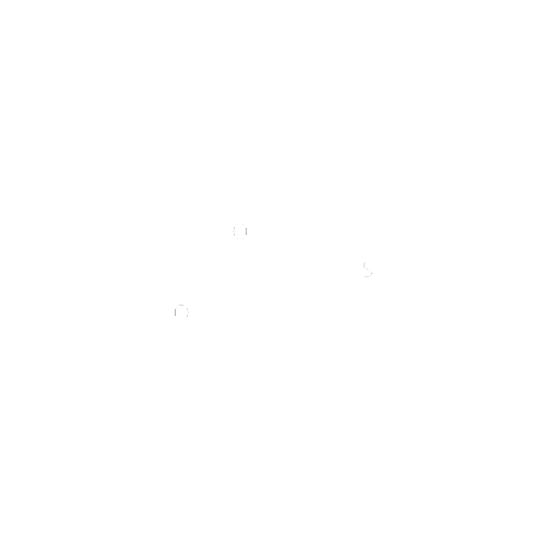 C=C1CSC(C)COC1=O